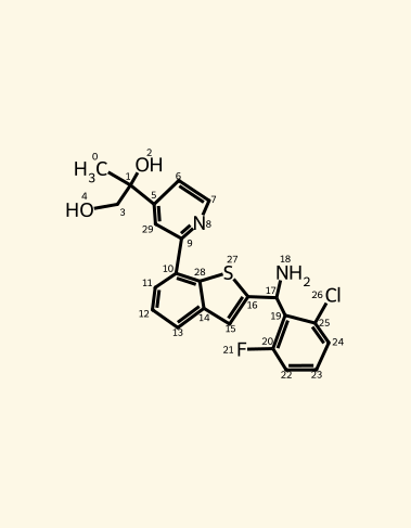 CC(O)(CO)c1ccnc(-c2cccc3cc(C(N)c4c(F)cccc4Cl)sc23)c1